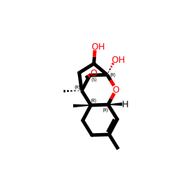 CC1=C[C@H]2O[C@]3(O)C(O)C[C@@](C)([C@]34CO4)[C@@]2(C)CC1